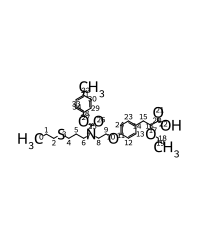 CCCSCCCN(CCOc1ccc(CC(OCC)C(=O)O)cc1)C(=O)Oc1ccc(C)cc1